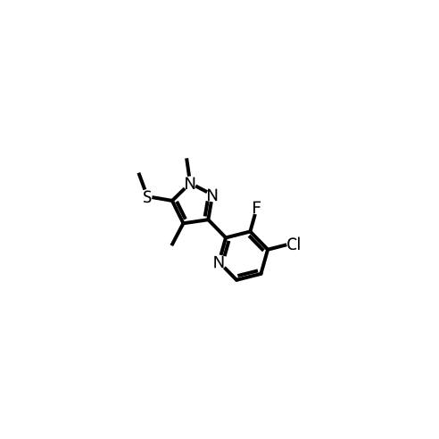 CSc1c(C)c(-c2nccc(Cl)c2F)nn1C